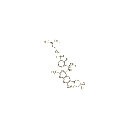 COc1nc2nc(C)nc(N[C@H](C)c3cccc(C(F)(F)COCCN(C)C)c3F)c2cc1N1CCS(=O)(=O)CC1